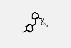 COC1=C(Cc2ccc(F)cc2)CCCC1